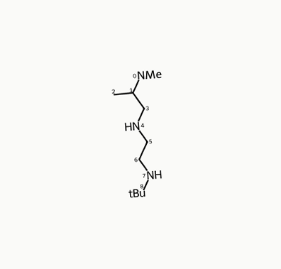 CNC(C)CNCCNC(C)(C)C